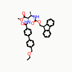 CCOCc1ccc(-c2ccc(C(=O)N[C@H](C(=O)OC)[C@@H](C)NC(=O)OCC3c4ccccc4-c4ccccc43)cc2)cc1